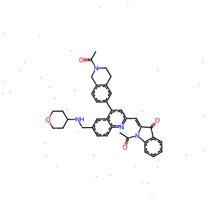 CC(=O)N1CCc2cc(-c3cc(/C=C4/C(=O)c5ccccc5N4C(C)=O)nc4ccc(CNC5CCOCC5)cc34)ccc2C1